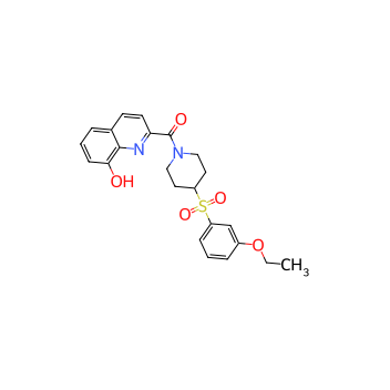 CCOc1cccc(S(=O)(=O)C2CCN(C(=O)c3ccc4cccc(O)c4n3)CC2)c1